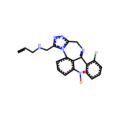 C=CCNCc1nnc2n1-c1cccc([N+](=O)[O-])c1C(c1ccccc1Cl)=NC2